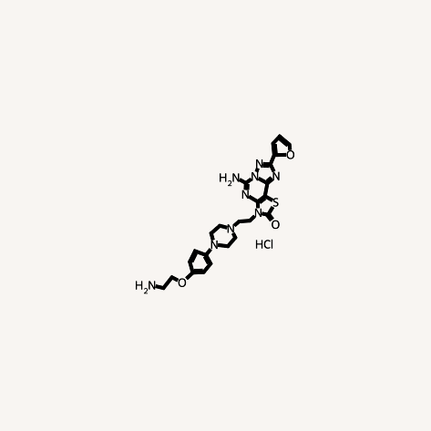 Cl.NCCOc1ccc(N2CCN(CCn3c(=O)sc4c3nc(N)n3nc(-c5ccco5)nc43)CC2)cc1